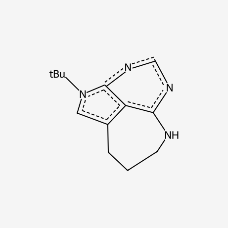 CC(C)(C)n1cc2c3c(ncnc31)NCCC2